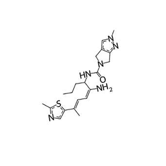 CCCC(NC(=O)N1Cc2cn(C)nc2C1)/C(N)=C\C=C(/C)c1cnc(C)s1